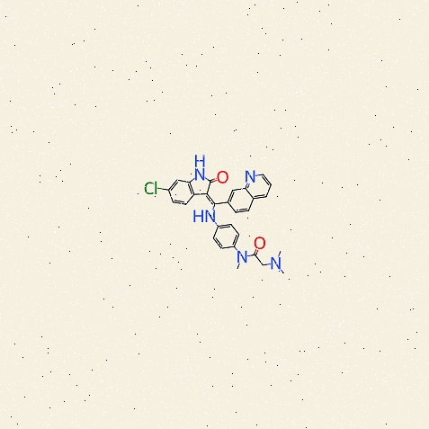 CN(C)CC(=O)N(C)c1ccc(NC(=C2C(=O)Nc3cc(Cl)ccc32)c2ccc3cccnc3c2)cc1